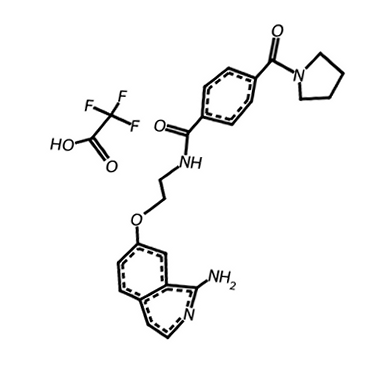 Nc1nccc2ccc(OCCNC(=O)c3ccc(C(=O)N4CCCC4)cc3)cc12.O=C(O)C(F)(F)F